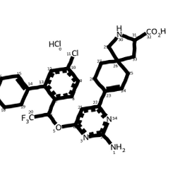 Cl.Nc1nc(OC(c2ccc(Cl)cc2C2=CCCCC2)C(F)(F)F)cc(C2=CCC3(CC2)CNC(C(=O)O)C3)n1